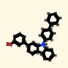 Brc1cccc(-c2ccc3c4ccccc4n(-c4ccc(-c5ccccc5)cc4)c3c2)c1